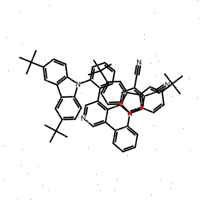 CC(C)(C)c1ccc2c(c1)c1cc(C(C)(C)C)ccc1n2-c1ccccc1-c1cncc(-c2ccccc2-n2c3ccc(C(C)(C)C)cc3c3cc(C(C)(C)C)ccc32)c1-c1ccc(C#N)c(C#N)c1